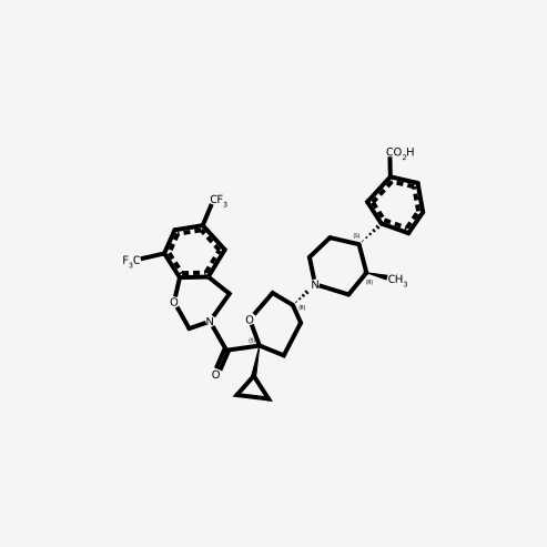 C[C@H]1CN([C@@H]2CC[C@@](C(=O)N3COc4c(cc(C(F)(F)F)cc4C(F)(F)F)C3)(C3CC3)OC2)CC[C@@H]1c1cccc(C(=O)O)c1